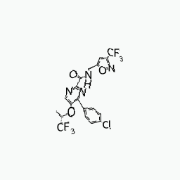 C[C@H](Oc1cnc(C(=O)NCc2cc(C(F)(F)F)no2)nc1-c1ccc(Cl)cc1)C(F)(F)F